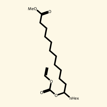 C=COC(=O)OC(CCCCCC)CCCCCCCCCCC(=O)OC